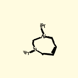 CC(C)N1CC=CCN(C(C)C)C1